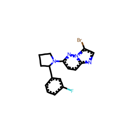 Fc1cccc(C2CCCN2c2ccc3ncc(Br)n3n2)c1